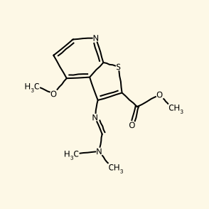 COC(=O)c1sc2nccc(OC)c2c1N=CN(C)C